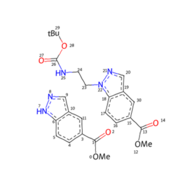 COC(=O)c1ccc2[nH]ncc2c1.COC(=O)c1ccc2c(cnn2CCNC(=O)OC(C)(C)C)c1